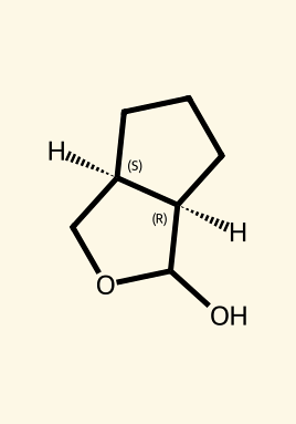 OC1OC[C@H]2CCC[C@@H]12